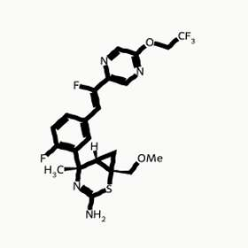 COC[C@]12C[C@H]1[C@@](C)(c1cc(/C=C(\F)c3cnc(OCC(F)(F)F)cn3)ccc1F)N=C(N)S2